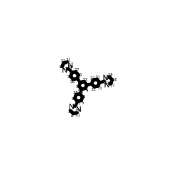 c1cnc(-c2ccc(-c3cc(-c4ccc(-c5ncccn5)cc4)cc(-c4ccc(-c5ncccn5)cc4)c3)cc2)nc1